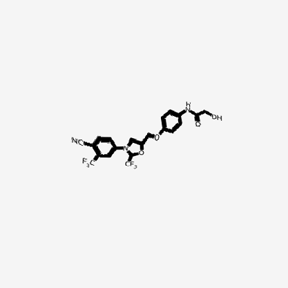 N#Cc1ccc(N2CC(COc3ccc(NC(=O)CO)cc3)OC2C(F)(F)F)cc1C(F)(F)F